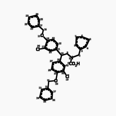 O=C(O)N(Cc1ccccc1)CC(c1ccc(OCc2ccccc2)c(Cl)c1)c1ccc(OCc2ccccc2)c(Cl)c1